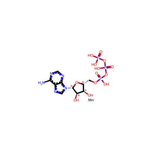 Nc1ncnc2c1ncn2[C@@H]1O[C@H](COP(=O)(O)OP(=O)(O)OP(=O)(O)O)[C@@H](O)[C@H]1O.[Mn]